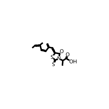 C=C(/C=C\C(C)=C/C)/C=C1\SC(=S)N(C(C)C(=O)O)C1=O